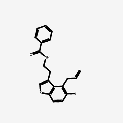 C=CCc1c(I)ccc2scc(CCNC(=O)c3ccccc3)c12